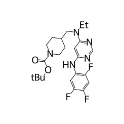 CCN(CC1CCN(C(=O)OC(C)(C)C)CC1)c1cc(Nc2cc(F)c(F)cc2F)ncn1